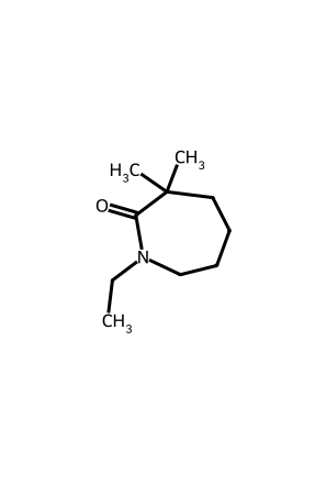 CCN1CCCCC(C)(C)C1=O